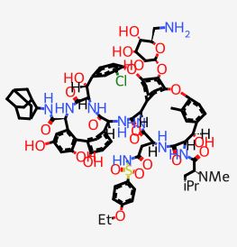 CCOc1ccc(S(=O)(=O)NC(=O)C[C@@H]2NC(=O)[C@H](NC(=O)[C@@H](CC(C)C)NC)[C@H](O)c3ccc(c(C)c3)Oc3cc4cc(c3O[C@@H]3O[C@H](CN)[C@@H](O)[C@H](O)[C@H]3O)Oc3ccc(cc3Cl)[C@@H](O)[C@@H]3NC(=O)[C@H](NC(=O)[C@@H]4NC2=O)c2ccc(O)c(c2)-c2c(O)cc(O)cc2[C@@H](C(=O)NC2C4CC5CC(C4)CC2C5)NC3=O)cc1